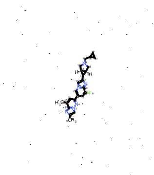 Cc1cn2nc(-c3cc(F)c4nc(C5[C@H]6CN(CC7CC7)C[C@@H]56)cn4c3)cc(C)c2n1